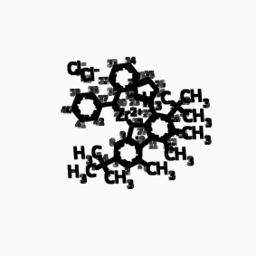 Cc1cc(C(C)(C)C)cc2c1-c1c(C)c(C)c(C(C)(C)C)c(C3=CC=CC3)c1[CH]2[Zr+2]=[C](c1ccccc1)c1ccccc1.[Cl-].[Cl-]